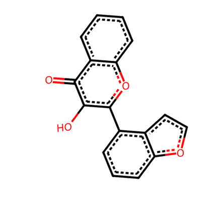 O=c1c(O)c(-c2cccc3occc23)oc2ccccc12